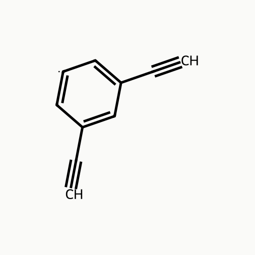 C#Cc1c[c]cc(C#C)c1